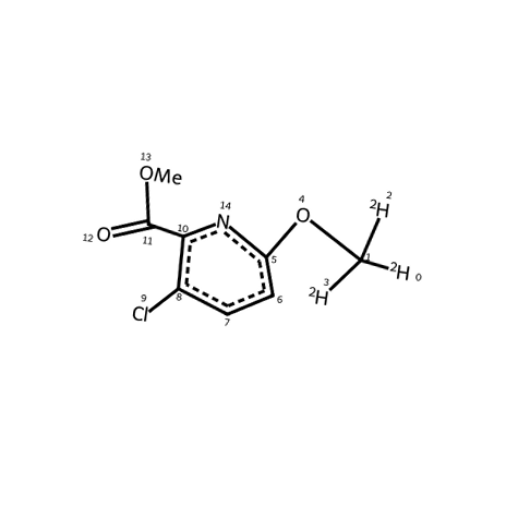 [2H]C([2H])([2H])Oc1ccc(Cl)c(C(=O)OC)n1